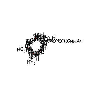 CC(=O)NCCOCCOCCOCCOCCOCCOCCOCCOCCC(=O)N[C@@H](CC(=O)O)C(=O)N[C@H]1CSSC[C@@H](C(=O)NC(C(N)=O)C(C)O)NC(=O)[C@H](Cc2c[nH]c3ccccc23)NC(=O)C(C(C)C)NC(=O)[C@H](CC(C)C)NC(=O)[C@H](CCC(=O)O)NC(=O)CNC(=O)[C@H](CNC(=O)CSC(=O)COCCN)NC(=O)[C@H](Cc2c[nH]cn2)NC(=O)[C@H](Cc2c[nH]c3ccccc23)NC(=O)[C@H](C)NC1=O